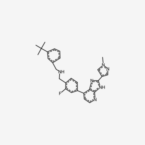 Cn1cc(-c2nc3c(-c4ccc(CNCc5cccc(C(C)(C)C)c5)c(F)c4)ccnc3[nH]2)cn1